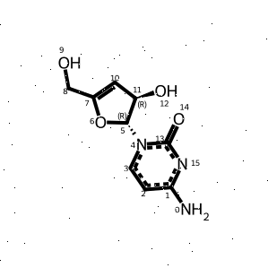 Nc1ccn([C@@H]2OC(CO)=C[C@H]2O)c(=O)n1